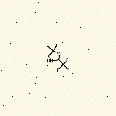 CC1(I)CNC(C(F)(F)F)O1